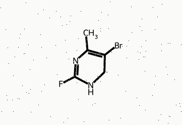 CC1=C(Br)[CH]NC(F)=N1